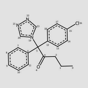 CCCC(=O)C(c1ccccc1)(c1ccc(Cl)cc1)n1cnnc1